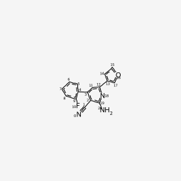 N#Cc1c(-c2ccccc2F)cc(-c2ccoc2)nc1N